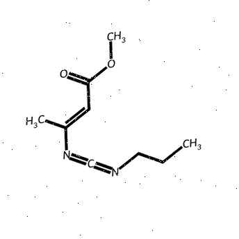 CCCN=C=NC(C)=CC(=O)OC